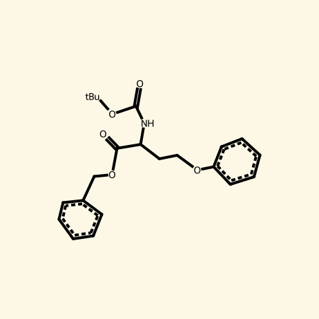 CC(C)(C)OC(=O)NC(CCOc1ccccc1)C(=O)OCc1ccccc1